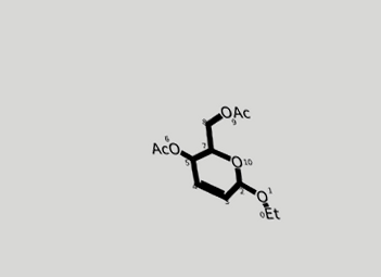 CCOC1C=CC(OC(C)=O)C(COC(C)=O)O1